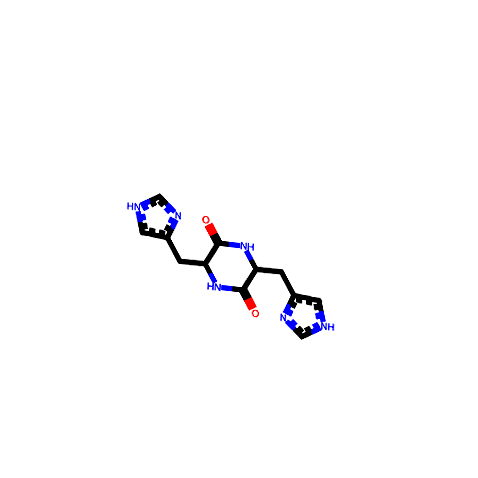 O=C1NC(Cc2c[nH]cn2)C(=O)NC1Cc1c[nH]cn1